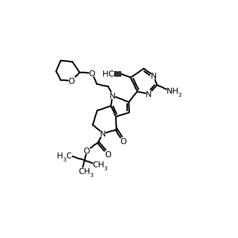 C#Cc1cnc(N)nc1-c1cc2c(n1CCOC1CCCCO1)CCN(C(=O)OC(C)(C)C)C2=O